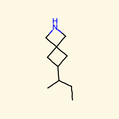 CCC(C)C1CC2(CNC2)C1